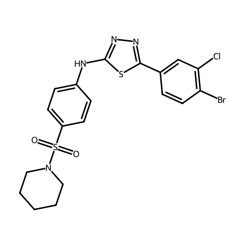 O=S(=O)(c1ccc(Nc2nnc(-c3ccc(Br)c(Cl)c3)s2)cc1)N1CCCCC1